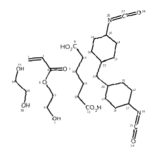 C=CC(=O)OCCO.O=C(O)CCCCC(=O)O.O=C=NC1CCC(CC2CCC(N=C=O)CC2)CC1.OCCO